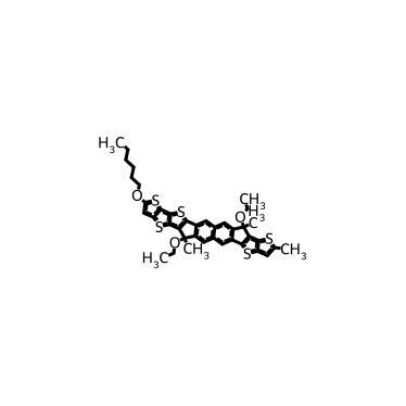 CCCCCCOc1cc2sc3c4c(sc3c2s1)-c1cc2cc3c(cc2cc1C4(C)OCC)-c1sc2cc(C)sc2c1C3(C)OCC